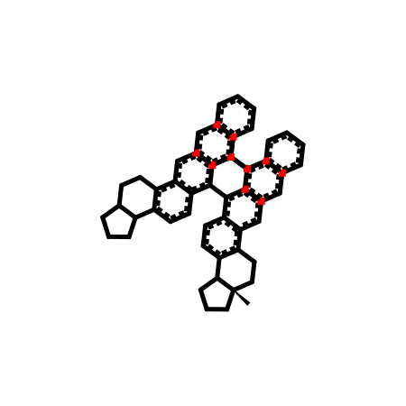 C[C@@]12CCCC1c1ccc3c(-c4c(P(c5ccccc5)c5ccccc5)ccc5c6c(ccc45)C4CCCC4CC6)c(P(c4ccccc4)c4ccccc4)ccc3c1CC2